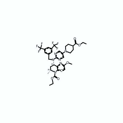 CCOC(=O)C1CCN(c2cnc(N(Cc3cc(C(F)(F)F)cc(C(F)(F)F)c3)[C@H]3C[C@@H](C)N(C(=O)OCC)c4ccc(OC)nc43)nc2)CC1